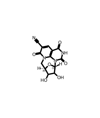 N#Cc1cc2c(=O)[nH]c(=O)n3c2n(c1=O)C[C@H]1O[C@H]3C(O)C1O